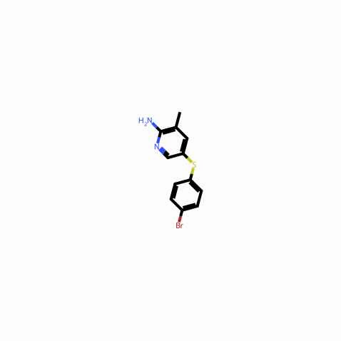 Cc1cc(Sc2ccc(Br)cc2)cnc1N